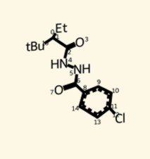 CCC(C(=O)NNC(=O)c1ccc(Cl)cc1)C(C)(C)C